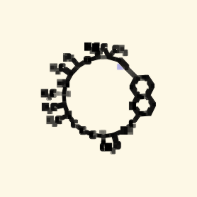 C=C1N[C@@H](C)C(=C)N(C)CCC[C@H](C)C(=O)NCc2ccc3ccc(cc3n2)/C=C/C(C)(C)C(=C)OC1C(C)C